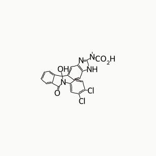 CN(C(=O)O)c1nc2cc(C3(O)c4ccccc4C(=O)N3c3ccc(Cl)c(Cl)c3)ccc2[nH]1